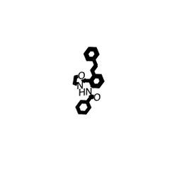 O=C(Nc1cccc(/C=C/c2ccccc2)c1C1=NCCO1)C1CCCCC1